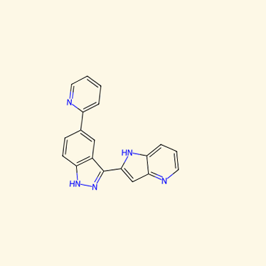 c1ccc(-c2ccc3[nH]nc(-c4cc5ncccc5[nH]4)c3c2)nc1